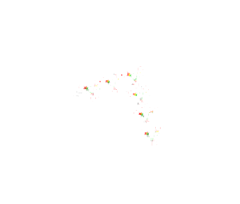 [Ir+6].[O-][Cl+2]([O-])[O-].[O-][Cl+2]([O-])[O-].[O-][Cl+2]([O-])[O-].[O-][Cl+2]([O-])[O-].[O-][Cl+2]([O-])[O-].[O-][Cl+2]([O-])[O-]